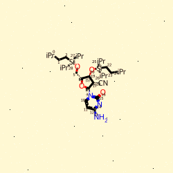 CC(C)CC[Si](OC[C@H]1O[C@@H](n2ccc(N)nc2=O)[C@@H](C#N)[C@@H]1O[Si](CCC(C)C)(C(C)C)C(C)C)(C(C)C)C(C)C